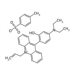 C=CC[n+]1c2ccccc2c(-c2ccc(N(CC)CC)cc2O)c2ccccc21.Cc1ccc(S(=O)(=O)[O-])cc1